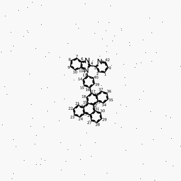 c1ccc(-c2nc3ccccc3n2-c2ccc(-c3cc4c5ccccc5c5ccccc5c4c4ccccc34)cc2)nc1